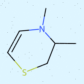 CC1CSC=CN1C